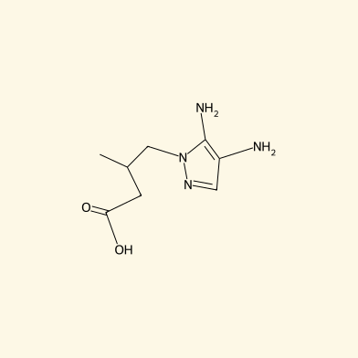 CC(CC(=O)O)Cn1ncc(N)c1N